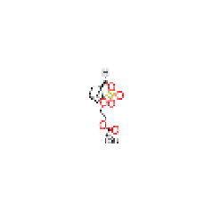 CCC(C)C(=O)OCCOC1C2CC3C(C2)S(=O)(=O)O[C@H]31